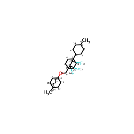 CC1CCC(C23CCC(COC45CCC(C)(CC4)CC5)(CC2)C(F)(F)C3F)CC1